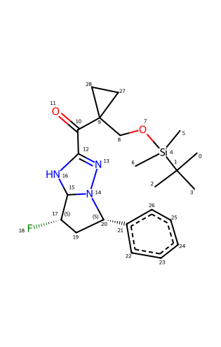 CC(C)(C)[Si](C)(C)OCC1(C(=O)C2=NN3C(N2)[C@@H](F)C[C@H]3c2ccccc2)CC1